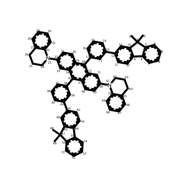 CC1(C)c2ccccc2-c2ccc(-c3cccc(-c4c5ccc(N6CCCc7ccccc76)cc5c(-c5cccc(-c6ccc7c(c6)C(C)(C)c6ccccc6-7)c5)c5ccc(N6CCCc7ccccc76)cc45)c3)cc21